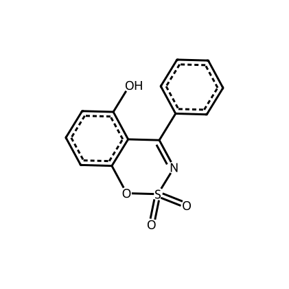 O=S1(=O)N=C(c2ccccc2)c2c(O)cccc2O1